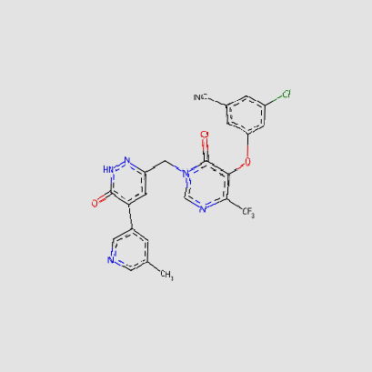 Cc1cncc(-c2cc(Cn3cnc(C(F)(F)F)c(Oc4cc(Cl)cc(C#N)c4)c3=O)n[nH]c2=O)c1